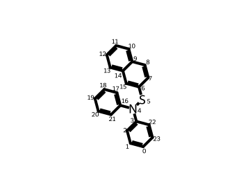 c1ccc(N(Sc2ccc3ccccc3c2)c2ccccc2)cc1